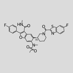 CNC(=O)c1c(-c2ccc(F)cc2)oc2cc(N(C)S(C)(=O)=O)c([C@@H]3CCCN(C(=O)c4nc5ccc(F)cc5s4)C3)cc12